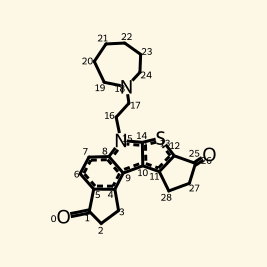 O=C1CCc2c1ccc1c2c2c3c(sc2n1CCN1CCCCCC1)C(=O)CC3